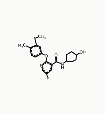 CSc1cc(Oc2ncc(F)cc2C(=O)NC2CCC(O)CC2)ccc1C